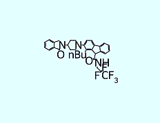 CCCCc1c(N2CCC(N3Cc4ccccc4C3=O)CC2)ccc2c1C(C(=O)NCC(F)(F)C(F)(F)F)c1ccccc1-2